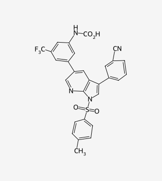 Cc1ccc(S(=O)(=O)n2cc(-c3cccc(C#N)c3)c3cc(-c4cc(NC(=O)O)cc(C(F)(F)F)c4)cnc32)cc1